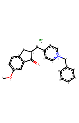 COc1ccc2c(c1)C(=O)C(Cc1cc[n+](Cc3ccccc3)cc1)C2.[Br-]